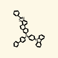 c1ccc(-c2ccc(N(c3ccc(-n4c5ccccc5c5ccccc54)cc3)c3ccc4c(ccc5c4ccc4nc(-c6ccccc6)sc45)c3)cc2)cc1